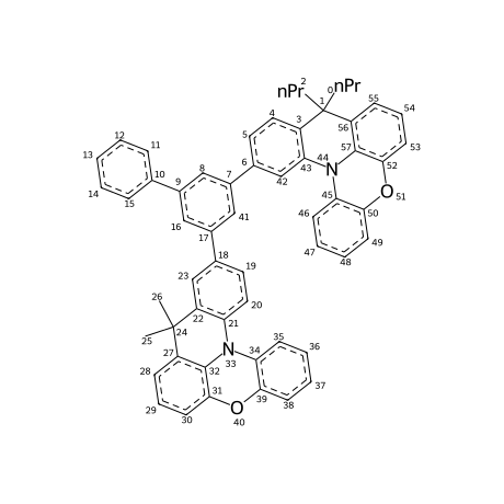 CCCC1(CCC)c2ccc(-c3cc(-c4ccccc4)cc(-c4ccc5c(c4)C(C)(C)c4cccc6c4N5c4ccccc4O6)c3)cc2N2c3ccccc3Oc3cccc1c32